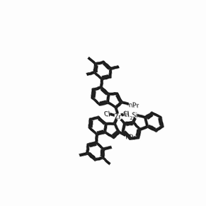 CCCC1=Cc2c(-c3cc(C)cc(C)c3C)cccc2[CH]1[Zr]([Cl])([Cl])([c]1cccc2c1[SiH2]c1ccccc1-2)[CH]1C(CCC)=Cc2c(-c3cc(C)cc(C)c3C)cccc21